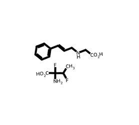 CC(F)C(N)(F)C(=O)O.O=C(O)CNCC=Cc1ccccc1